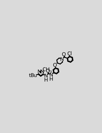 Cn1nc(C(C)(C)C)cc1NC(=O)Nc1cccc(OC2CCN(C(=O)c3ccccc3Cl)CC2)c1